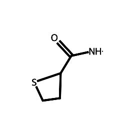 [NH]C(=O)C1CCS1